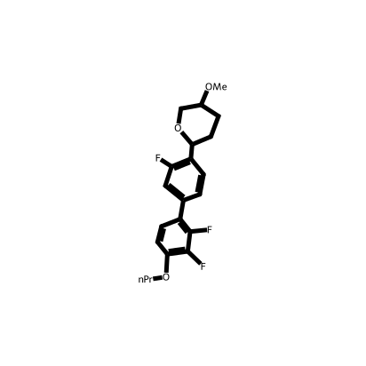 CCCOc1ccc(-c2ccc(C3CCC(OC)CO3)c(F)c2)c(F)c1F